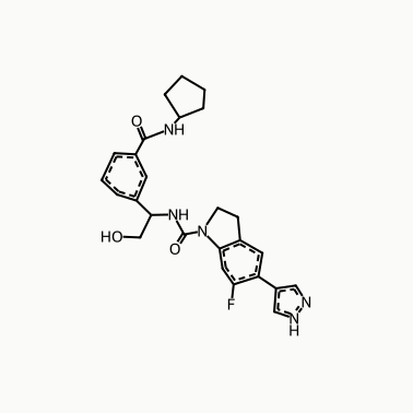 O=C(NC1CCCC1)c1cccc(C(CO)NC(=O)N2CCc3cc(-c4cn[nH]c4)c(F)cc32)c1